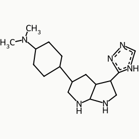 CN(C)C1CCC(C2CNC3NCC(c4nnc[nH]4)C3C2)CC1